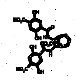 O=C(O)c1cc(O)c(C(=O)NC2c3cccc(c3C(=O)O)C2NC(=O)c2cc(O)c(C(=O)O)cc2O)cc1O